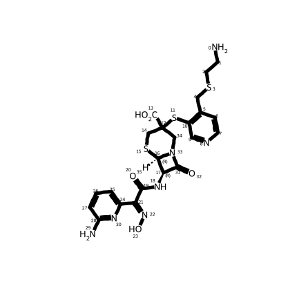 NCCSCc1ccncc1SC1(C(=O)O)CS[C@@H]2[C@H](NC(=O)C(=NO)c3cccc(N)n3)C(=O)N2C1